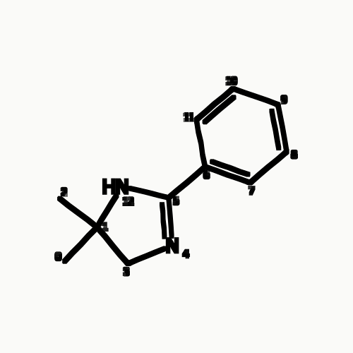 CC1(C)CN=C(c2ccccc2)N1